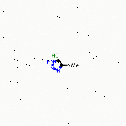 CNc1c[nH]nn1.Cl